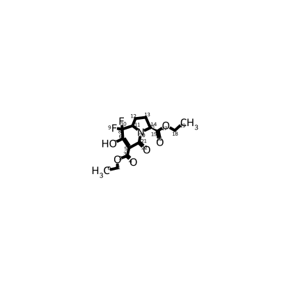 CCOC(=O)C1=C(O)C(F)(F)C2CC[C@@H](C(=O)OCC)N2C1=O